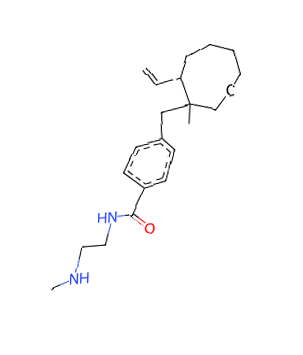 C=CC1CCCCCCC1(C)Cc1ccc(C(=O)NCCNC)cc1